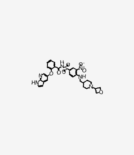 O=C(NS(=O)(=O)c1ccc(NCC2CCN(C3COC3)CC2)c([N+](=O)[O-])c1)c1ccccc1Oc1cnc2[nH]ccc2c1